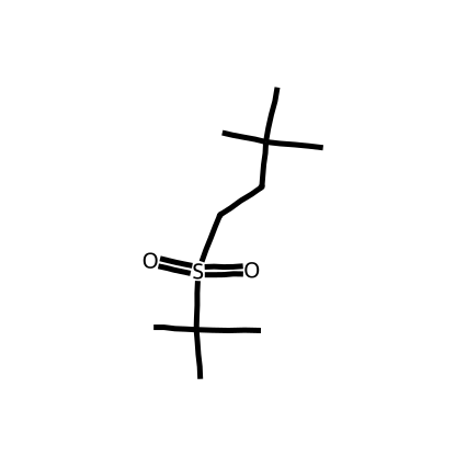 CC(C)(C)CCS(=O)(=O)C(C)(C)C